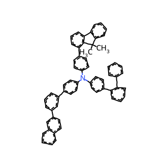 CC1(C)c2ccccc2-c2cccc(-c3ccc(N(c4ccc(-c5cccc(-c6ccc7ccccc7c6)c5)cc4)c4ccc(-c5ccccc5-c5ccccc5)cc4)cc3)c21